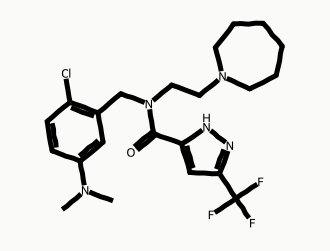 CN(C)c1ccc(Cl)c(CN(CCN2CCCCCC2)C(=O)c2cc(C(F)(F)F)n[nH]2)c1